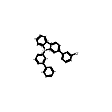 Clc1cccc(-c2ccc3c4ccccc4n(-c4cccc(-c5ccccc5)c4)c3c2)c1